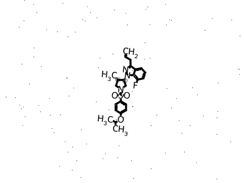 C=CCc1nn([C@H]2CN(S(=O)(=O)c3ccc(OC(C)C)cc3)C[C@H]2C)c2c(F)cccc12